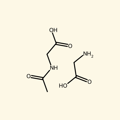 CC(=O)NCC(=O)O.NCC(=O)O